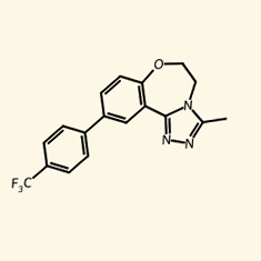 Cc1nnc2n1CCOc1ccc(-c3ccc(C(F)(F)F)cc3)cc1-2